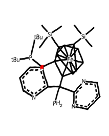 CC(C)(C)P(C[C]12[C]3(C(P)(c4ncccn4)c4ncccn4)[CH]4[C]5([Si](C)(C)C)[C]1([Si](C)(C)C)[Fe]42351678[CH]2[CH]1[CH]6[CH]7[CH]28)C(C)(C)C